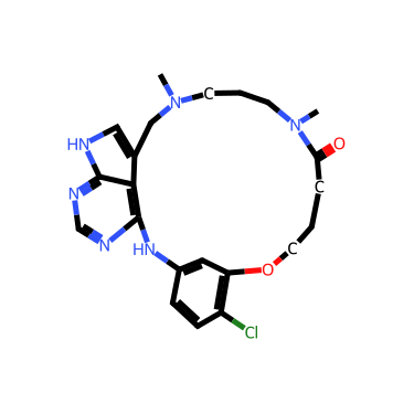 CN1CCCN(C)C(=O)CCCOc2cc(ccc2Cl)Nc2ncnc3[nH]cc(c23)C1